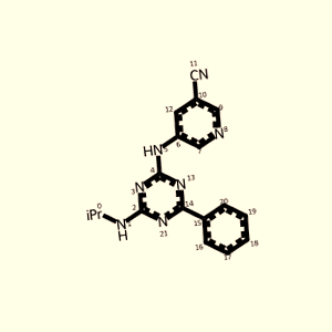 CC(C)Nc1nc(Nc2cncc(C#N)c2)nc(-c2ccccc2)n1